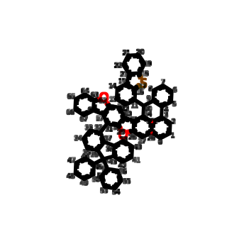 c1ccc(-c2ccccc2C(c2cccc3c2sc2ccccc23)c2cccc3oc4c(-c5cccc6c5-c5ccccc5C6(c5ccccc5)c5ccccc5)c5c(cc4c23)oc2ccccc25)cc1